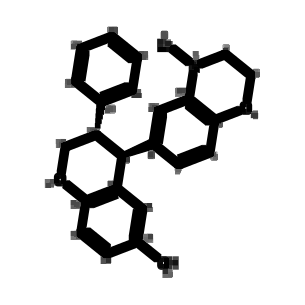 CCN1CCOc2ccc([C@H]3c4cc(O)ccc4OC[C@@H]3c3ccccc3)cc21